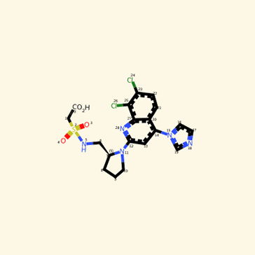 O=C(O)CS(=O)(=O)NC[C@@H]1CCCN1c1cc(-n2ccnc2)c2ccc(Cl)c(Cl)c2n1